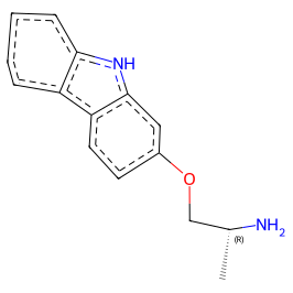 C[C@@H](N)COc1ccc2c(c1)[nH]c1ccccc12